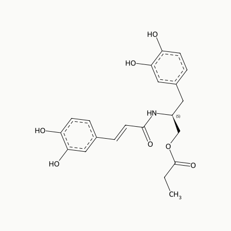 CCC(=O)OC[C@H](Cc1ccc(O)c(O)c1)NC(=O)C=Cc1ccc(O)c(O)c1